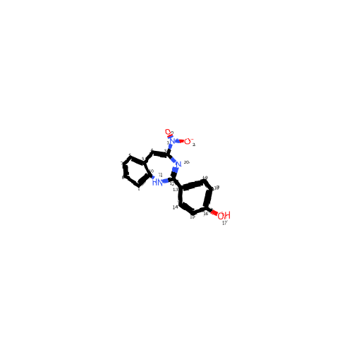 O=[N+]([O-])C1=Cc2ccccc2NC(c2ccc(O)cc2)=N1